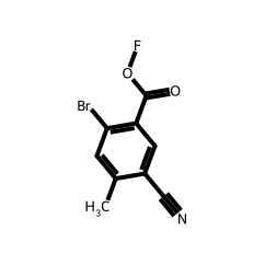 Cc1cc(Br)c(C(=O)OF)cc1C#N